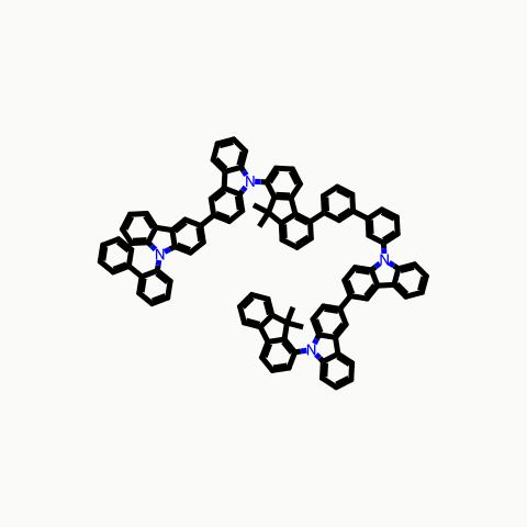 CC1(C)c2ccccc2-c2cccc(-n3c4ccccc4c4cc(-c5ccc6c(c5)c5ccccc5n6-c5cccc(-c6cccc(-c7cccc8c7-c7cccc(-n9c%10ccccc%10c%10cc(-c%11ccc%12c(c%11)c%11ccccc%11n%12-c%11ccccc%11-c%11ccccc%11)ccc%109)c7C8(C)C)c6)c5)ccc43)c21